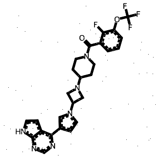 O=C(c1cccc(OC(F)(F)F)c1F)N1CCC(N2C[C](n3ccc(-c4ncnc5[nH]ccc45)c3)C2)CC1